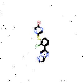 Clc1c(Sc2cnc(Br)cn2)cccc1-c1cnc2ccnn2c1